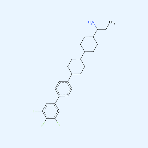 CCC(N)C1CCC(C2CCC(c3ccc(-c4cc(F)c(F)c(F)c4)cc3)CC2)CC1